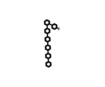 Fc1ccc(-c2ccccc2-c2ccc(-c3ccc(-c4ccc(-c5ccc(-c6ccccc6)cc5)cc4)cc3)cc2)cc1